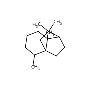 CC1CCCC2(C)C3CCC12CC3(C)C